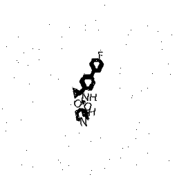 O=C(NC1(c2ccc(-c3ccc(F)cc3)cc2)CC1)O[C@@H]1CN2CCC1CC2